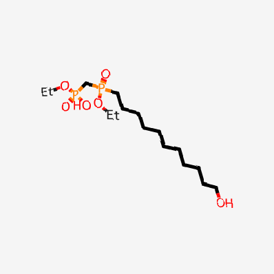 CCOP(=O)(O)CP(=O)(CCCCCCCCCCCO)OCC